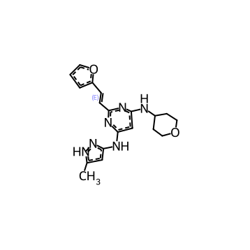 Cc1cc(Nc2cc(NC3CCOCC3)nc(/C=C/c3ccco3)n2)n[nH]1